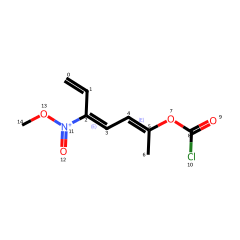 C=C/C(=C\C=C(/C)OC(=O)Cl)[N+](=O)OC